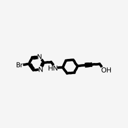 OCC#CC1CCC(NCc2ncc(Br)cn2)CC1